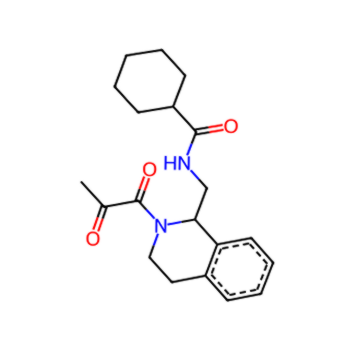 CC(=O)C(=O)N1CCc2ccccc2C1CNC(=O)C1CCCCC1